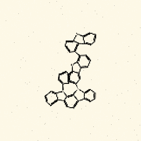 c1ccc(-n2c3ccccc3c3ccc4c5ccccc5n(-c5ccc6oc7c(-c8cccc9sc%10ccccc%10c89)cccc7c6c5)c4c32)cc1